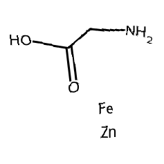 NCC(=O)O.[Fe].[Zn]